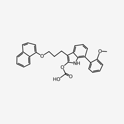 COc1ccccc1-c1cccc2c(CCCOc3cccc4ccccc34)c(OC(=O)O)[nH]c12